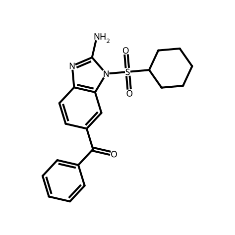 Nc1nc2ccc(C(=O)c3ccccc3)cc2n1S(=O)(=O)C1CCCCC1